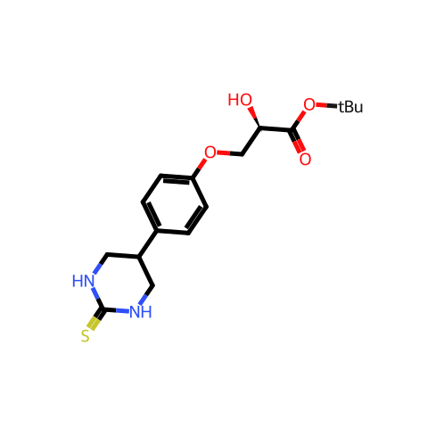 CC(C)(C)OC(=O)[C@H](O)COc1ccc(C2CNC(=S)NC2)cc1